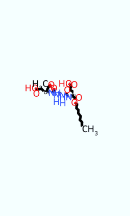 CCCCCCCCCOC(=O)[C@H](CCC(=O)O)NC(=O)NCNC(=O)N[C@@H](CCC(=O)O)C(C)=O